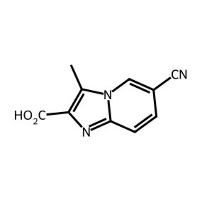 Cc1c(C(=O)O)nc2ccc(C#N)cn12